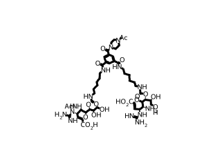 CC(=O)N[C@H]1[C@H]([C@H](OC(=O)NCCCCCCNC(=O)c2cc(C(=O)NCCCCCCNC(=O)O[C@@H](C3OC(C(=O)O)=C[C@H](NC(=N)N)[C@H]3N)[C@H](O)CO)cc(C(=O)N3CCN(C(C)=O)CC3)c2)[C@H](O)CO)OC(C(=O)O)=C[C@@H]1NC(=N)N